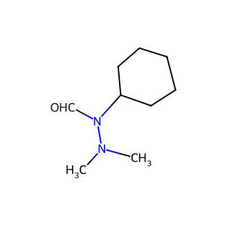 CN(C)N(C=O)C1CCCCC1